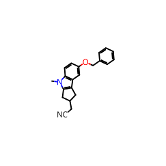 Cn1c2c(c3cc(OCc4ccccc4)ccc31)CC(CC#N)C2